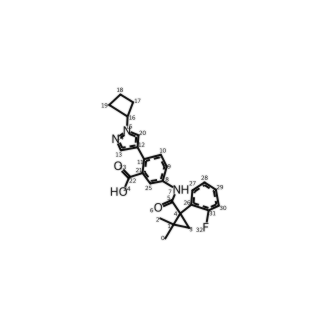 CC1(C)CC1(C(=O)Nc1ccc(-c2cnn(C3CCC3)c2)c(C(=O)O)c1)c1ccccc1F